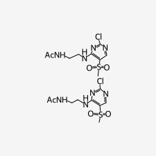 CC(=O)NCCNc1nc(Cl)ncc1S(C)(=O)=O.CC(=O)NCCNc1nc(Cl)ncc1S(C)(=O)=O